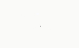 C=C/N=C(/C)N(C)C(C)(C)C=C